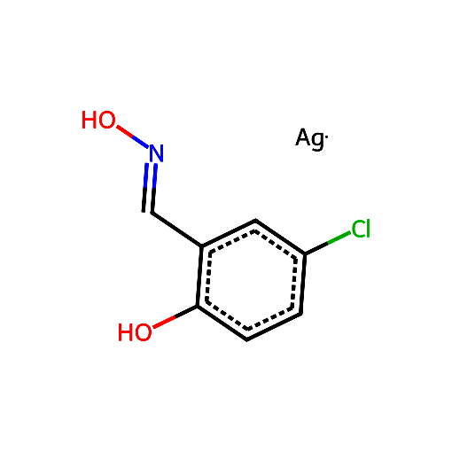 ON=Cc1cc(Cl)ccc1O.[Ag]